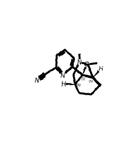 CO[C@]1(c2cccc(C#N)n2)[C@@H]2CCC[C@H]1CN(C)C2